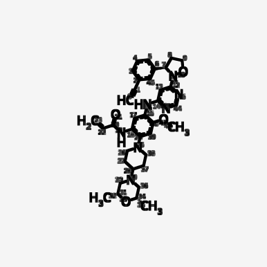 C#Cc1cccc([C@H]2CCON2c2cc(Nc3cc(NC(=O)C=C)c(N4CCC(N5C[C@@H](C)O[C@@H](C)C5)CC4)cc3OC)ncn2)c1